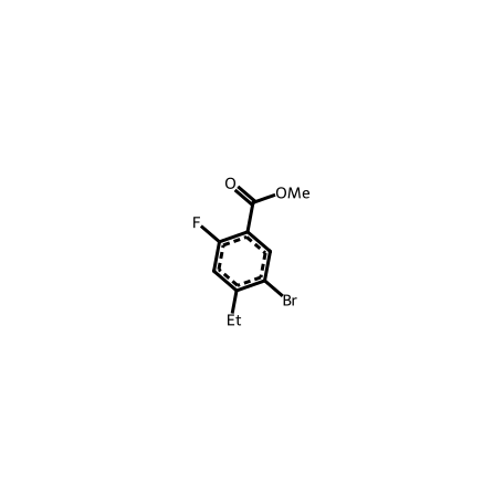 CCc1cc(F)c(C(=O)OC)cc1Br